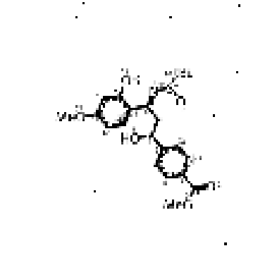 COC(=O)c1ccc(C(O)C/C(=N\[S@@+]([O-])C(C)(C)C)c2ccc(OC)cc2O)cn1